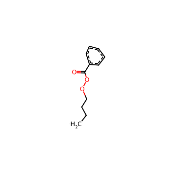 [CH2]CCCOOC(=O)c1ccccc1